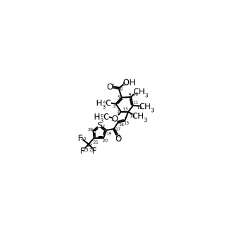 COC1C(C)=C(C(=O)O)C(C)=C(C)C1(C)C=CC(=O)c1cc(C(F)(F)F)cs1